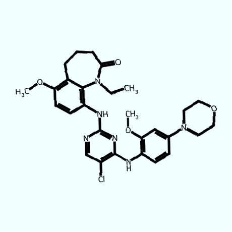 CCN1C(=O)CCCc2c(OC)ccc(Nc3ncc(Cl)c(Nc4ccc(N5CCOCC5)cc4OC)n3)c21